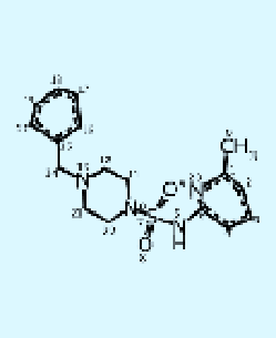 Cc1cccc(NS(=O)(=O)N2CCN(Cc3ccccc3)CC2)n1